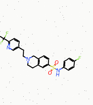 CC(F)(F)c1ccc(CCN2CCc3cc(S(=O)(=O)Nc4ccc(F)cc4)ccc3C2)cn1